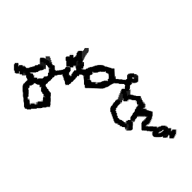 O=C(c1ccc(-n2cc(-c3n[nH]c4ccccc34)nn2)cc1)N1CCOC(CCO)C1